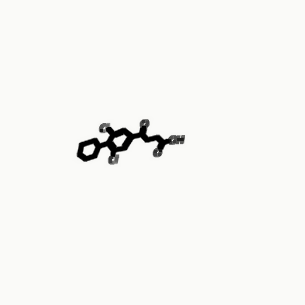 O=C(O)CCC(=O)c1cc(Cl)c(C2CCCCC2)c(Cl)c1